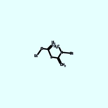 C=C(OCC)SC(=C)N(C)CC